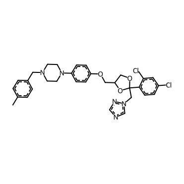 Cc1ccc(CN2CCN(c3ccc(OCC4COC(Cn5cncn5)(c5ccc(Cl)cc5Cl)O4)cc3)CC2)cc1